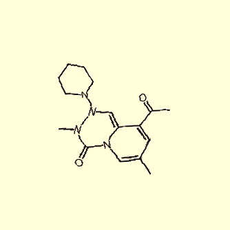 CC(=O)C1=CC(C)=CN2C(=O)N(C)N(N3CCCCC3)C=C12